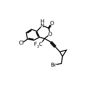 O=C1Nc2ccc(Cl)cc2C(C#CC2CC2CBr)(C(F)(F)F)O1